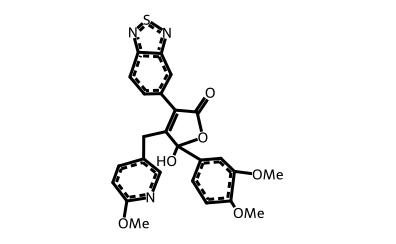 COc1ccc(CC2=C(c3ccc4nsnc4c3)C(=O)OC2(O)c2ccc(OC)c(OC)c2)cn1